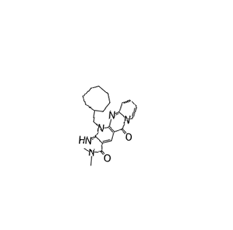 CN(C)C(=O)c1cc2c(=O)n3ccccc3nc2n(CC2CCCCCCC2)c1=N